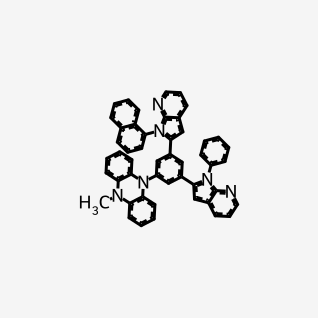 CN1c2ccccc2N(c2cc(-c3cc4cccnc4n3-c3ccccc3)cc(-c3cc4cccnc4n3-c3cccc4ccccc34)c2)c2ccccc21